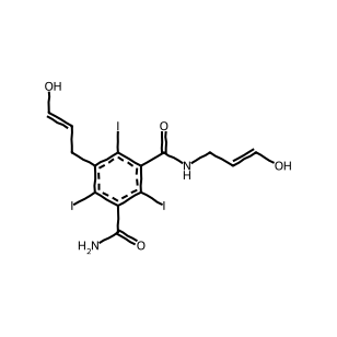 NC(=O)c1c(I)c(CC=CO)c(I)c(C(=O)NCC=CO)c1I